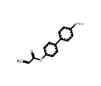 C=CC(=O)Oc1ccc(-c2ccc(CCCCC)cc2)cc1